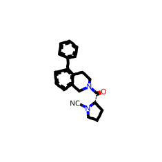 N#CN1CCC[C@H]1C(=O)N1CCc2c(cccc2-c2ccccc2)C1